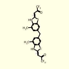 Cc1cc(Cc2cc(C)c3c(c2)S/C(=C\C(=O)C(F)(F)F)N3)cc2c1N/C(=C/C(=O)C(F)(F)F)S2